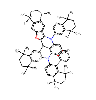 CC[C@@]1(C)CCC(C)c2cc3c4c(oc3cc21)B1c2cc3c(cc2N(c2ccc5c(c2-c2ccccc2)C(C)(C)CCC5(C)C)c2cc(C(C)(C)C)cc(c21)N4c1ccc2c(c1)C(C)(C)CCC2(C)C)C(C)(C)CCC3(C)C